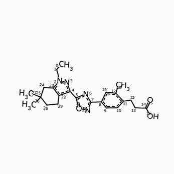 CCn1nc(-c2nc(-c3ccc(CCC(=O)O)c(C)c3)no2)c2c1CC(C)(C)CC2